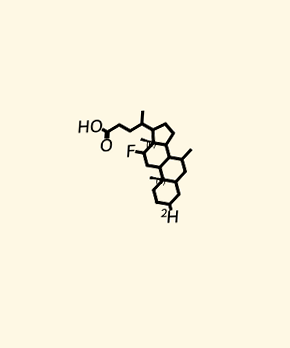 [2H]C1CC[C@@]2(C)C(C1)CC(C)C1C2CC(F)[C@]2(C)C(C(C)CCC(=O)O)CCC12